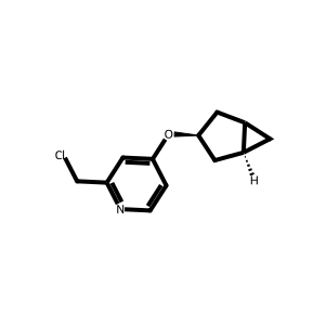 ClCc1cc(O[C@H]2CC3C[C@H]3C2)ccn1